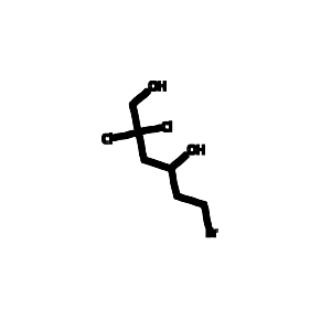 OCC(Cl)(Cl)CC(O)CCBr